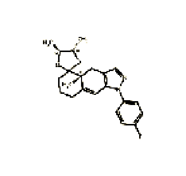 C[C@@H]1OC2(CCCC3=Cc4c(cnn4-c4ccc(F)cc4)C[C@]32C)O[C@H]1C